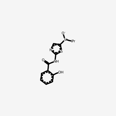 CC(C)[S+]([O-])c1cnc(NC(=O)c2ccccc2O)s1